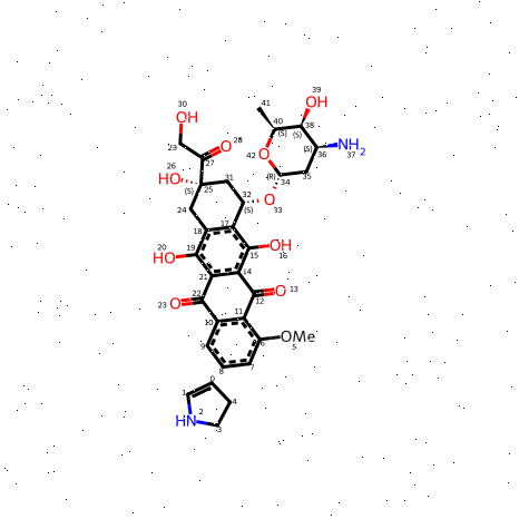 C1=CNCC1.COc1cccc2c1C(=O)c1c(O)c3c(c(O)c1C2=O)C[C@@](O)(C(=O)CO)C[C@@H]3O[C@H]1C[C@H](N)[C@H](O)[C@H](C)O1